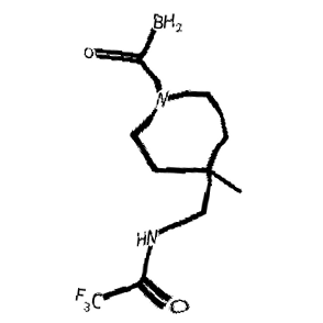 BC(=O)N1CCC(C)(CNC(=O)C(F)(F)F)CC1